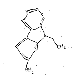 CCn1c2ccccc2c2ccc(N)cc21